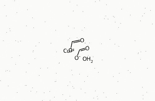 O.O=C[O-].O=C[O-].[Cu+2]